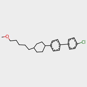 COCCCCCC1CCC(c2ccc(-c3ccc(Cl)cc3)cc2)CC1